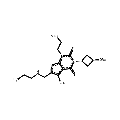 COCCn1c(=O)n([C@H]2C[C@H](OC)C2)c(=O)c2c(C)c(CNCCN)sc21